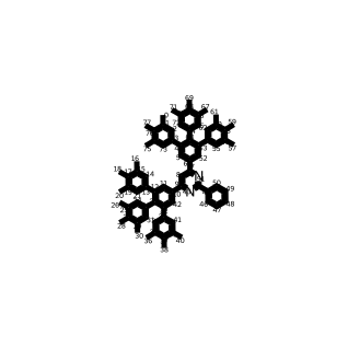 Cc1cc(-c2cc(-c3cc(-c4cc(-c5cc(C)c(C)c(C)c5)c(-c5cc(C)c(C)c(C)c5)c(-c5cc(C)c(C)c(C)c5)c4)nc(-c4ccccc4)n3)cc(-c3cc(C)c(C)c(C)c3)c2-c2cc(C)c(C)c(C)c2)cc(C)c1C